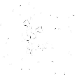 CC(C)(C)OC(=O)NCCCN1C(=O)CCC1CNC(=O)c1ccc(-c2ccccc2C#N)nc1NCCc1cccc(F)c1